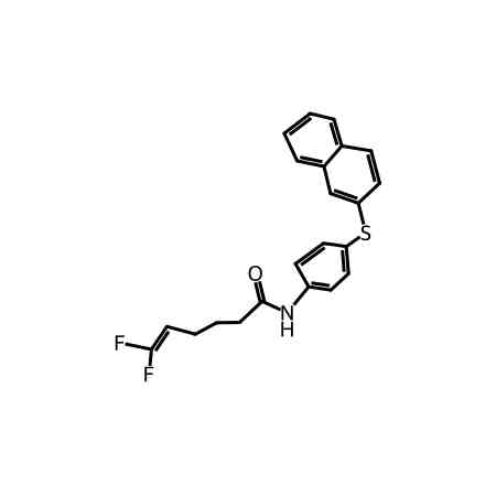 O=C(CCCC=C(F)F)Nc1ccc(Sc2ccc3ccccc3c2)cc1